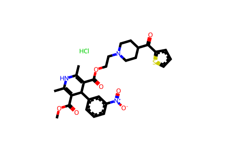 COC(=O)C1=C(C)NC(C)=C(C(=O)OCCN2CCC(C(=O)c3cccs3)CC2)C1c1cccc([N+](=O)[O-])c1.Cl